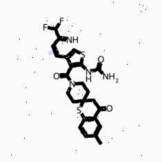 Cc1ccc2c(c1)C(=O)CC1(CCN(C(=O)c3c(/C=C\C(=N)C(F)F)csc3NC(N)=O)CC1)S2